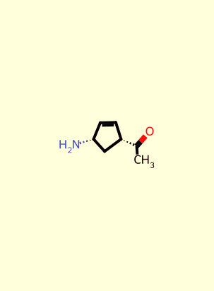 CC(=O)[C@H]1C=C[C@@H](N)C1